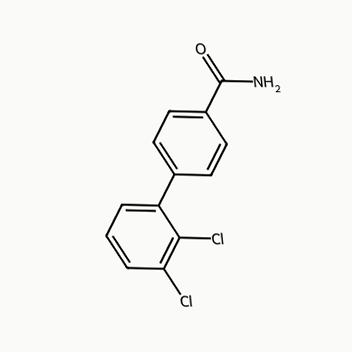 NC(=O)c1ccc(-c2cccc(Cl)c2Cl)cc1